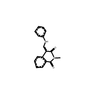 CN1C(=O)/C(=C\Nc2ccccc2)c2ccccc2C1=O